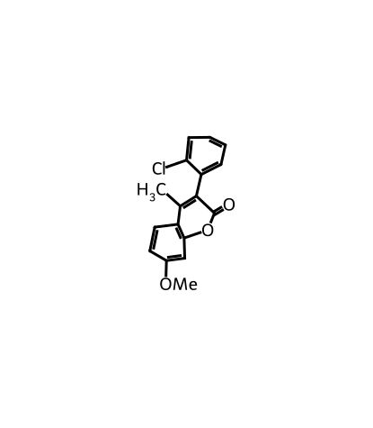 COc1ccc2c(C)c(-c3ccccc3Cl)c(=O)oc2c1